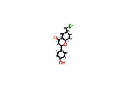 O=c1cc(-c2ccc(O)cc2)oc2ccc(CBr)cc12